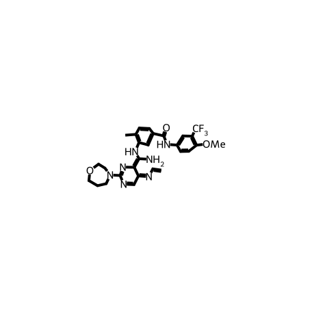 C=C/N=C1/C=NC(N2CCCOCC2)=N/C1=C(/N)Nc1cc(C(=O)Nc2ccc(OC)c(C(F)(F)F)c2)ccc1C